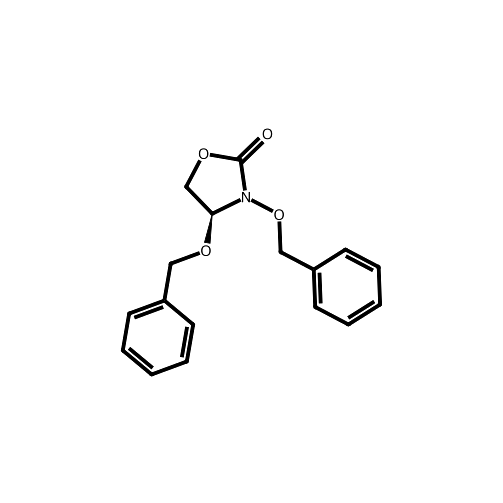 O=C1OC[C@H](OCc2ccccc2)N1OCc1ccccc1